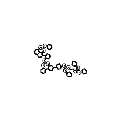 c1ccc(OP(OCCOP(Oc2ccccc2)Oc2ccc(-c3ccc4c(c3)op(Oc3ccccc3-c3ccc5cccc6c5c3OP(Oc3ccccc3)O6)oc3ccccc34)cc2)Oc2ccccc2)cc1